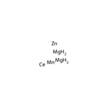 [Ce].[MgH2].[MgH2].[Mn].[Zn]